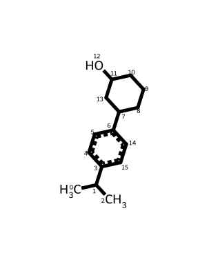 CC(C)c1ccc(C2CCCC(O)C2)cc1